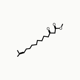 COC(=O)CC(=O)CCCCCCCCC=C(C)C